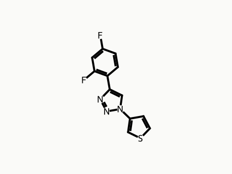 Fc1ccc(-c2cn(-c3ccsc3)nn2)c(F)c1